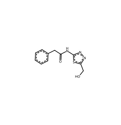 O=C(Cc1ccccc1)Nc1nnc(CO)s1